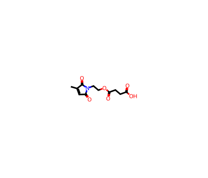 CC1=CC(=O)N(CCOC(=O)CCC(=O)O)C1=O